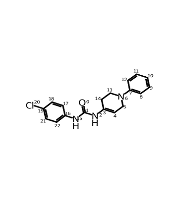 O=C(NC1=CCN(c2ccccc2)CC1)Nc1ccc(Cl)cc1